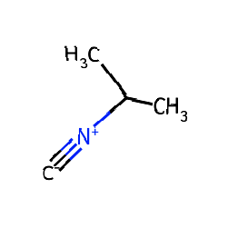 [C-]#[N+]C(C)C